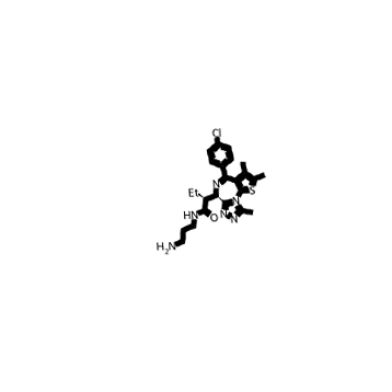 CC[C@@H](C(=O)NCCCN)[C@@H]1N=C(c2ccc(Cl)cc2)c2c(sc(C)c2C)-n2c(C)nnc21